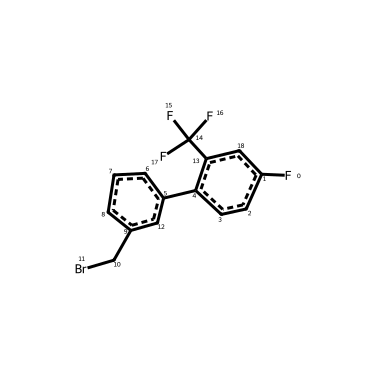 Fc1ccc(-c2cccc(CBr)c2)c(C(F)(F)F)c1